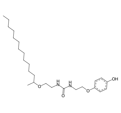 CCCCCCCCCCCCC(C)OCCNC(=O)NCCOc1ccc(O)cc1